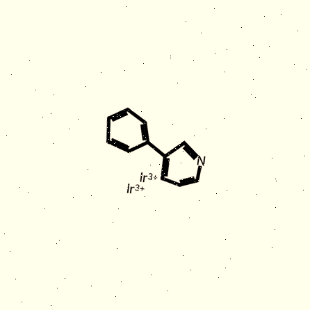 [Ir+3].[Ir+3].c1ccc(-c2cccnc2)cc1